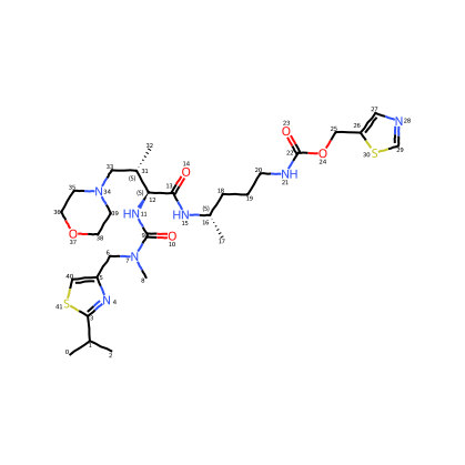 CC(C)c1nc(CN(C)C(=O)N[C@H](C(=O)N[C@@H](C)CCCNC(=O)OCc2cncs2)[C@@H](C)CN2CCOCC2)cs1